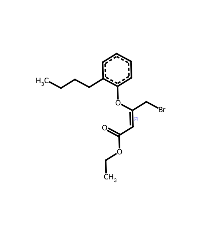 CCCCc1ccccc1O/C(=C\C(=O)OCC)CBr